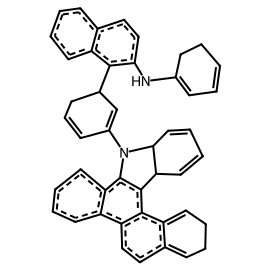 C1=CCCC(Nc2ccc3ccccc3c2C2C=C(N3c4c(c5c6c(ccc5c5ccccc45)=CCCC=6)C4C=CC=CC43)C=CC2)=C1